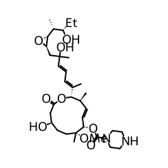 CC[C@H](O)[C@@H](C)[C@H]1O[C@@H]1CC(C)(O)/C=C/C=C(\C)[C@H]1OC(=O)C[C@H](O)CC[C@@](C)(OC)[C@@H](OC(=O)N2CCNCC2)/C=C/[C@@H]1C